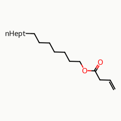 C=CCC(=O)OCCCCCCCCCCCCCC